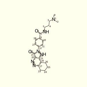 CN(C)CCCNC(=O)c1ccc(-n2[nH]c3c4c(nnc3c2=O)CCCC4)cc1